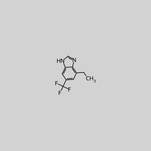 CCc1cc(C(F)(F)F)cc2[nH]cnc12